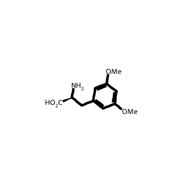 COc1cc(C[C@H](N)C(=O)O)cc(OC)c1